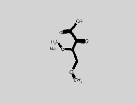 COCC(OC)C(=O)C(=O)O.[Na]